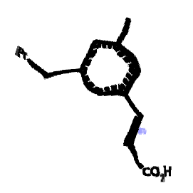 Cc1cc(/C=C/C(=O)O)cc(CC(C)C)c1